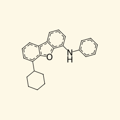 c1ccc(Nc2cccc3c2oc2c(C4CCCCC4)cccc23)cc1